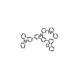 c1ccc(-c2cccc(-c3cccc(-n4c5ccc(-c6ccc7c(c6)c6ccccc6n7-c6ccccc6)cc5c5ccc(-c6cccc7c6oc6ccccc67)cc54)c3)n2)cc1